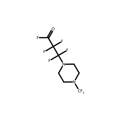 O=C(F)C(F)(F)C(F)(F)N1CCN(C(F)(F)F)CC1